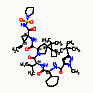 C=C[C@@H]1C[C@]1(NC(=O)[C@@H]1C[C@@]2(CN1C(=O)[C@@H](NC(=O)[C@@H](NC(=O)c1cc(C(C)(C)C)nn1C)C1CCCCC1)C(=C)C)C(C)(C)C21CCC1)C(=O)NS(=O)(=O)N1CCCC1